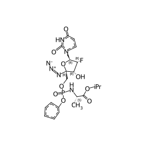 CC(C)OC(=O)[C@H](C)NP(=O)(OC[C@@]1(N=[N+]=[N-])O[C@@H](n2ccc(=O)[nH]c2=O)[C@H](F)[C@@H]1O)Oc1ccccc1